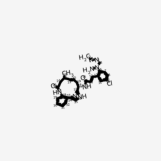 C=N/N=C\N(N)c1ccc(Cl)cc1/C=C/C(=O)N[C@H]1C/C=C/C(C)CC(=O)Nc2ccccc2-c2c[nH]c1n2